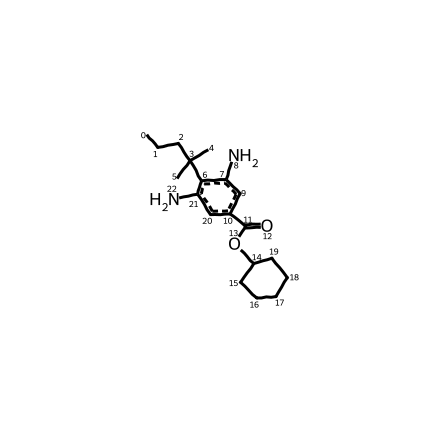 CCCC(C)(C)c1c(N)cc(C(=O)OC2CCCCC2)cc1N